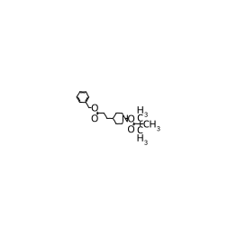 CC(C)(C)C(=O)ON1CCC(CCC(=O)OCc2ccccc2)CC1